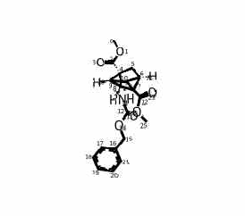 COC(=O)[C@]12C[C@H]3C[C@@H]1[C@H]2[C@]3(NC(=O)OCc1ccccc1)C(=O)OC